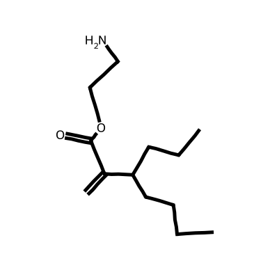 C=C(C(=O)OCCN)C(CCC)CCCC